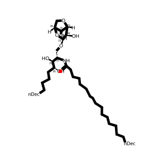 CCCCCCCCCCCCCCCCCCCCCCCCCC(=O)N[C@@H](CO[C@H]1O[C@@H]2CO[C@@H]([C@H]2O)[C@H]1O)[C@H](O)[C@H](O)CCCCCCCCCCCCCC